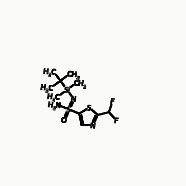 CC(C)(C)[Si](C)(C)N=S(N)(=O)c1cnc(C(F)F)s1